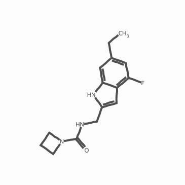 CCc1cc(F)c2cc(CNC(=O)N3CCC3)[nH]c2c1